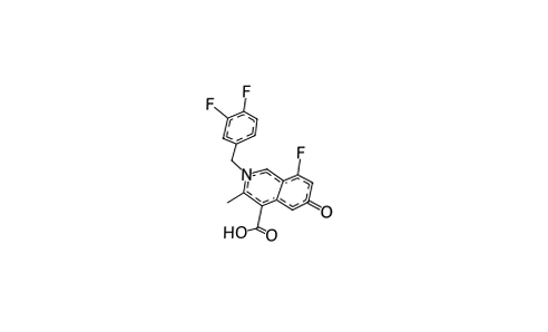 Cc1c(C(=O)O)c2cc(=O)cc(F)c-2cn1Cc1ccc(F)c(F)c1